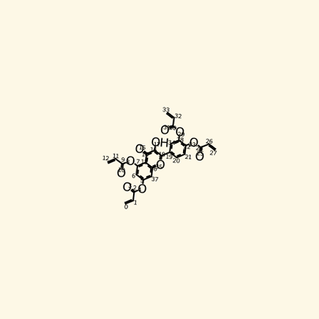 C=CC(=O)Oc1cc(OC(=O)C=C)c2c(=O)c(O)c(-c3ccc(OC(=O)C=C)c(OC(=O)C=C)c3)oc2c1